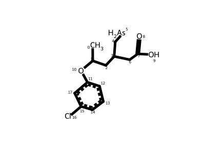 CC(CC(C[AsH2])CC(=O)O)Oc1cccc(Cl)c1